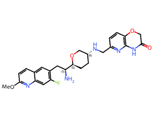 COc1ccc2cc(C[C@H](N)[C@@H]3CC[C@@H](NCc4ccc5c(n4)NC(=O)CO5)CO3)c(F)cc2n1